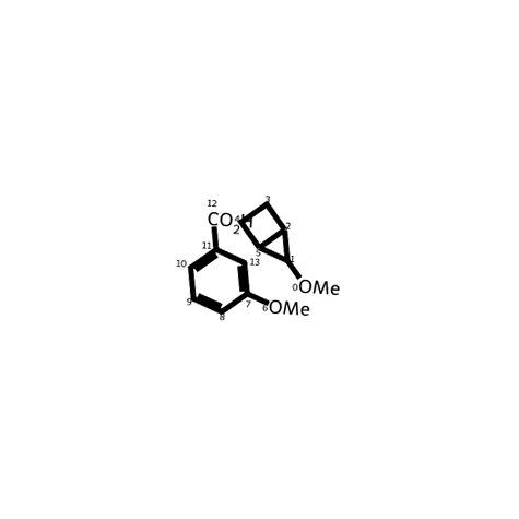 COC1C2CCC21.COc1cccc(C(=O)O)c1